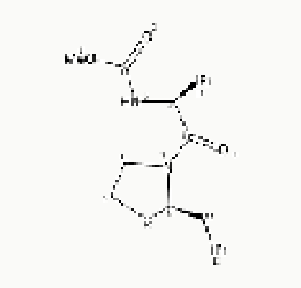 COC(=O)N[C@H](C(=O)N1CCC[C@@H]1CC(C)C)C(C)C